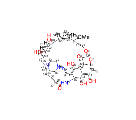 CO[C@H]1/C=C/O[C@@]2(C)Oc3c(C)c(O)c4c(O)c(c(/C=N/N5CCN(C)CC5)c(O)c4c3C2=O)NC(=O)/C(C)=C\C=C/C[C@H](C)[C@H](O)[C@@H](C)C(O)C(C)[C@H](OC(C)=O)[C@@H]1C